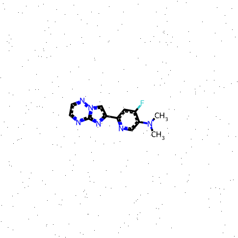 CN(C)c1cnc(-c2cn3nccnc3n2)cc1F